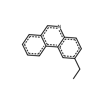 CCc1ccc2ncc3ccccc3c2c1